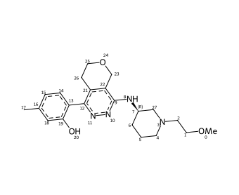 COCCN1CCC[C@@H](Nc2nnc(-c3ccc(C)cc3O)c3c2COCC3)C1